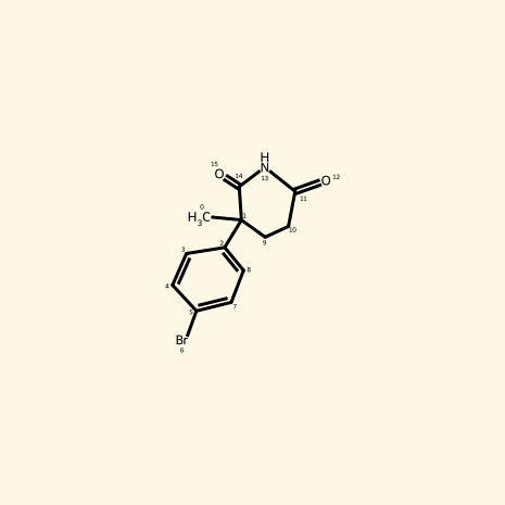 CC1(c2ccc(Br)cc2)CCC(=O)NC1=O